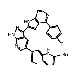 C=C/C(=C\C(=C/C)c1cnc2[nH]nc(-c3cc4c(-c5ccc(F)cc5)nccc4[nH]3)c2c1)NC(=C)C(C)(C)C